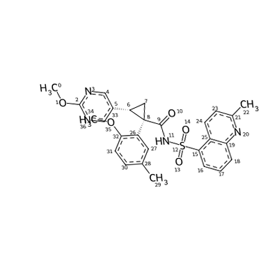 COc1ncc([C@@H]2C[C@]2(C(=O)NS(=O)(=O)c2cccc3nc(C)ccc23)c2cc(C)ccc2OC)cn1